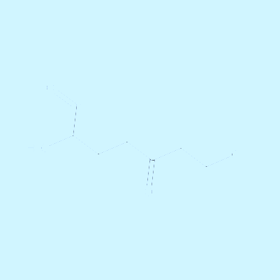 CCCC(=O)CCC(C)[C]=O